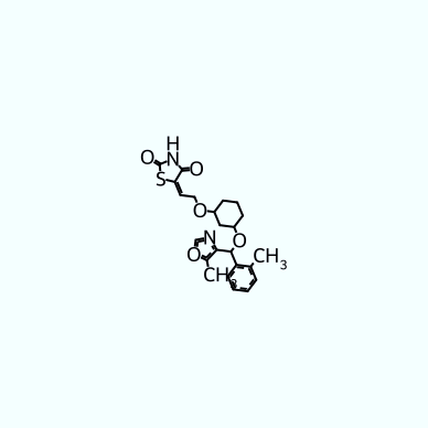 Cc1ccccc1C(OC1CCCC(OCC=C2SC(=O)NC2=O)C1)c1ncoc1C